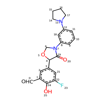 O=Cc1cc(C2OCN(c3cccc(N4CCCC4)c3)C2=O)cc(F)c1O